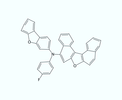 Fc1ccc(N(c2ccc3c(c2)oc2ccccc23)c2cc3oc4ccc5ccccc5c4c3c3ccccc23)cc1